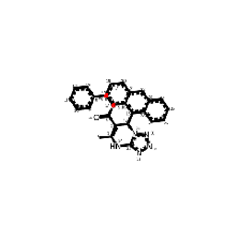 CC1=C(C(=O)O[C@@H](C)c2ccccc2)C(c2c3ccccc3cc3ccccc23)n2nnnc2N1